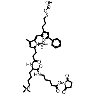 CC1=CC(CCC(=O)NC(CCCC[N+](C)(C)C)C(=O)NCCCCC(=O)ON2C(=O)CCC2=O)=[N+]2C1=Cc1c(CCCSOOO)cc(-c3ccccc3)n1[B-]2(F)F